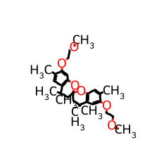 COCCOc1cc2c(cc1C)C(C)(C)CC1(CC(C)(C)c3cc(OCCOC)c(C)cc3O1)O2